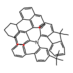 CC(C)(C)c1ccc(-c2ccccc2)c(N(c2ccccc2-c2cccc3cccc(C4CCCCC4)c23)c2cccc3c2-c2ccccc2C3(C)C)c1